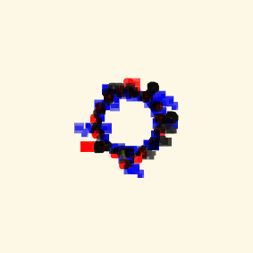 CCCC[C@H]1C(=O)N[C@@H](CC(C)C)C(=O)N[C@H](C(=O)NCC(N)=O)CSCC(=O)N[C@@H](Cc2ccc(O)cc2)C(=O)N(C)[C@@H](C)C(=O)N[C@@H](CC(N)=O)C(=O)N2CCC[C@H]2C(=O)N[C@@H](Cc2cnc[nH]2)C(=O)N[C@@H](CCC(=O)O)C(=O)N2C[C@H](O)C[C@H]2C(=O)N[C@@H](Cc2c[nH]c3ccccc23)C(=O)N[C@@H](CCN)C(=O)N[C@@H](Cc2c[nH]c3ccccc23)C(=O)N(CC)[C@@H](CCCC)C(=O)N1C